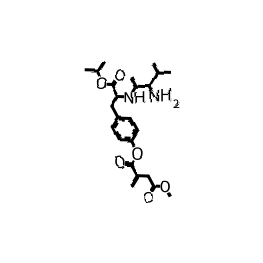 C=C(CC(=O)OC)C(=O)Oc1ccc(CC(NC(C)C(N)C(C)C)C(=O)OC(C)C)cc1